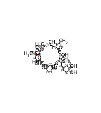 C=CC[C@@H]1/C=C(\C)C[C@H](C)C[C@H](OC)[C@H]2O[C@@](O)(CC(=O)N3CCCC[C@H]3C(=O)O[C@H](/C(C)=C/[C@@H]3CC[C@@H](O)[C@H](O)C3)[C@H](C)[C@@H](O)CC1=O)[C@H](C)C[C@@H]2OC